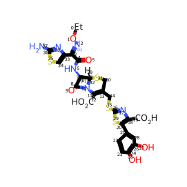 CCO/N=C(/C(=O)N[C@@H]1C(=O)N2C(C(=O)O)=C(CSc3nc(C(=O)O)c(-c4ccc(O)c(O)c4)s3)CS[C@H]12)c1csc(N)n1